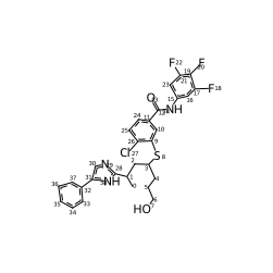 CC(CC(CCCO)Sc1cc(C(=O)Nc2cc(F)c(F)c(F)c2)ccc1Cl)c1ncc(-c2ccccc2)[nH]1